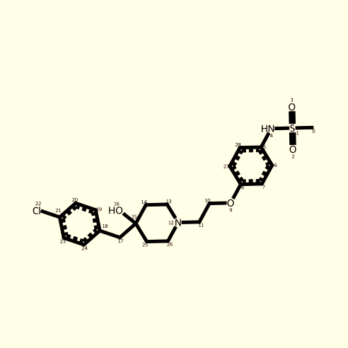 CS(=O)(=O)Nc1ccc(OCCN2CCC(O)(Cc3ccc(Cl)cc3)CC2)cc1